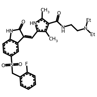 CCN(CC)CCNC(=O)c1c(C)[nH]c(/C=C2\C(=O)Nc3ccc(S(=O)(=O)Cc4ccccc4F)cc32)c1C